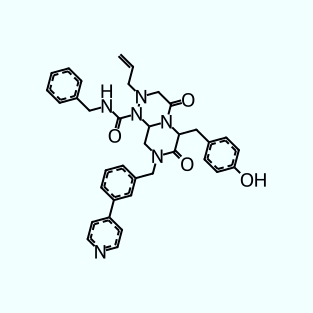 C=CCN1CC(=O)N2C(Cc3ccc(O)cc3)C(=O)N(Cc3cccc(-c4ccncc4)c3)CC2N1C(=O)NCc1ccccc1